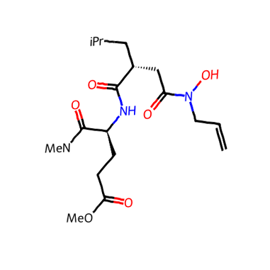 C=CCN(O)C(=O)C[C@@H](CC(C)C)C(=O)N[C@@H](CCC(=O)OC)C(=O)NC